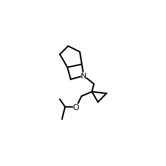 CC(C)OCC1(CN2CC3CCCC32)CC1